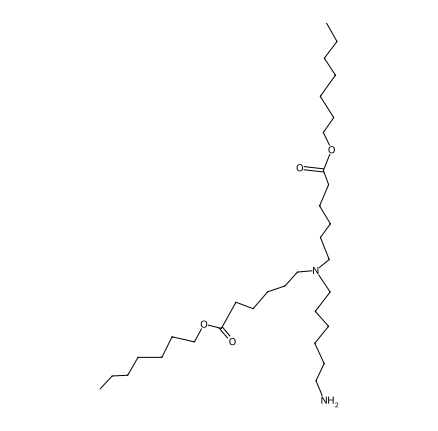 CCCCCCCOC(=O)CCCCCN(CCCCCCN)CCCCCC(=O)OCCCCCCC